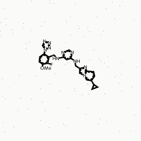 COc1ccc(-n2cnnn2)c(CNc2cc(NCc3cn4cc(C5CC5)ccc4n3)ncn2)c1F